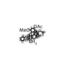 COc1cc(OC(C)=O)c2c3c1O[C@H]1[C@H](N(C)S(=O)(=O)Cc4ccccc4)CC[C@H]4[C@@H](C2)N(CC2CC2)CC[C@@]341